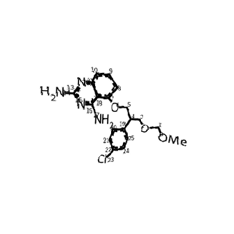 COCOCC(COc1cccc2nc(N)nc(N)c12)c1ccc(Cl)cc1